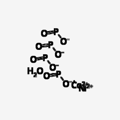 O.O=P[O-].O=P[O-].O=P[O-].O=P[O-].[Co+2].[Ni+2]